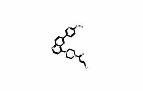 COc1ccc(-c2ccc3nccc(N4CCN(C(=O)C=CC(C)=O)CC4)c3c2)cn1